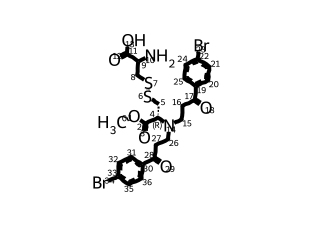 COC(=O)[C@H](CSSCC(N)C(=O)O)N(CCC(=O)c1ccc(Br)cc1)CCC(=O)c1ccc(Br)cc1